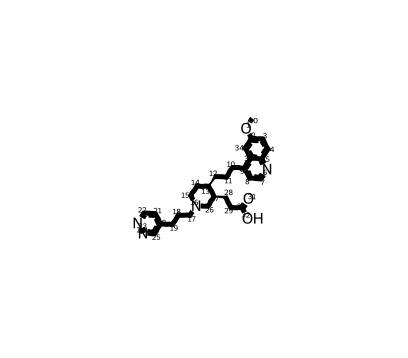 COc1ccc2nccc(CCC[C@@H]3CCN(CCCc4ccnnc4)C[C@@H]3CCC(=O)O)c2c1